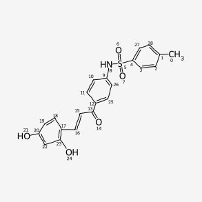 Cc1ccc(S(=O)(=O)Nc2ccc(C(=O)C=Cc3ccc(O)cc3O)cc2)cc1